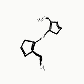 CCC1=[C]([Ru][C]2=C(C)C=CC2)CC=C1